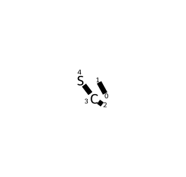 C=C.C=C=S